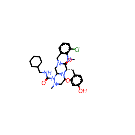 CN(C)c1c(Cl)cccc1CN1CC2N(C(=O)CN(C)N2C(=O)NCC2CCCCC2)[C@@H](Cc2ccc(O)cc2)C1=O